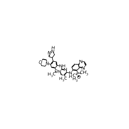 COc1cc(N2CCOCC2)c(C2C=NNC2)cc1Nc1ncc(C)c(Nc2ccc3nccnc3c2P(C)(C)=O)n1